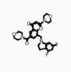 O=C(c1cc(CN2CCc3c(F)cc(F)cc32)c2oc(N3CCOCC3)cc(=O)c2c1)N1CCOCC1